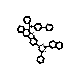 c1ccc(-c2ccc(N(c3ccccc3)c3c4ccccc4cc4c3oc3cc(-c5nc(-c6ccccc6)nc(-c6ccc7ccccc7c6)n5)ccc34)cc2)cc1